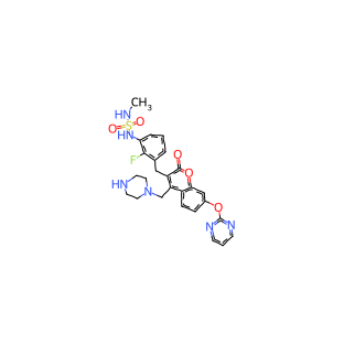 CNS(=O)(=O)Nc1cccc(Cc2c(CN3CCNCC3)c3ccc(Oc4ncccn4)cc3oc2=O)c1F